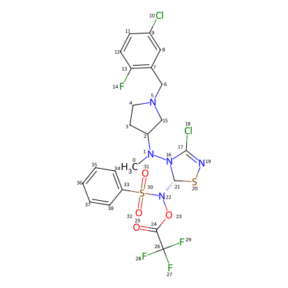 CN(C1CCN(Cc2cc(Cl)ccc2F)C1)N1C(Cl)=NS[C@@H]1N(OC(=O)C(F)(F)F)S(=O)(=O)c1ccccc1